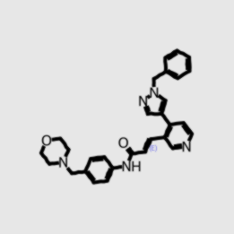 O=C(/C=C/c1cnccc1-c1cnn(Cc2ccccc2)c1)Nc1ccc(CN2CCOCC2)cc1